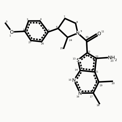 COc1ccc(C2CCN(C(=O)c3sc4nnc(C)c(C)c4c3N)C2C)cc1